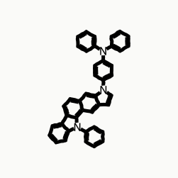 c1ccc(N(c2ccccc2)c2ccc(-n3ccc4cc5c(ccc6c7ccccc7n(-c7ccccc7)c56)cc43)cc2)cc1